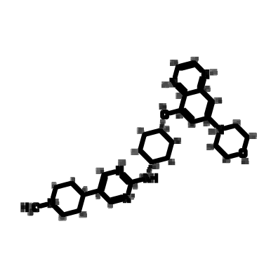 CN1CCC(c2cnc(N[C@H]3CC[C@@H](Oc4cc(N5CCOCC5)cc5nccnc45)CC3)nc2)CC1